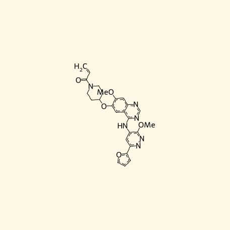 C=CC(=O)N1CCC(Oc2cc3c(Nc4cc(-c5ccco5)nnc4OC)ncnc3cc2OC)CC1